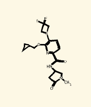 CN1CC(NC(=O)c2ccc(N3CC(F)(F)C3)c(OCC3CC3)n2)CC1=O